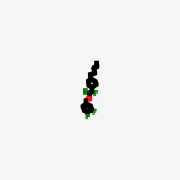 CC=CCCC1CCC(C(F)C(F)OCc2ccc(F)c(F)c2)CC1